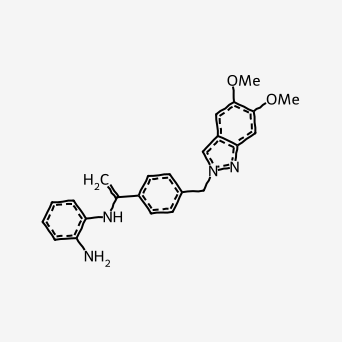 C=C(Nc1ccccc1N)c1ccc(Cn2cc3cc(OC)c(OC)cc3n2)cc1